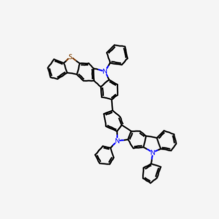 c1ccc(-n2c3ccc(-c4ccc5c(c4)c4cc6c7ccccc7n(-c7ccccc7)c6cc4n5-c4ccccc4)cc3c3cc4c(cc32)sc2ccccc24)cc1